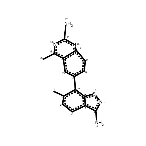 Cc1ccc2c(N)nsc2c1-c1ccc2nc(N)nc(C)c2c1